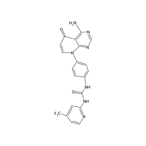 Nc1ncnc2c1c(=O)ccn2-c1ccc(NC(=O)Nc2cc(C(F)(F)F)ccn2)cc1